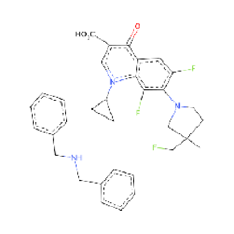 CC1(CF)CCN(c2c(F)cc3c(=O)c(C(=O)O)cn(C4CC4)c3c2F)C1.c1ccc(CNCc2ccccc2)cc1